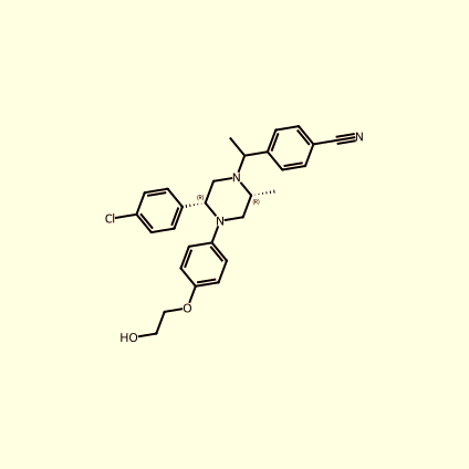 CC(c1ccc(C#N)cc1)N1C[C@@H](c2ccc(Cl)cc2)N(c2ccc(OCCO)cc2)C[C@H]1C